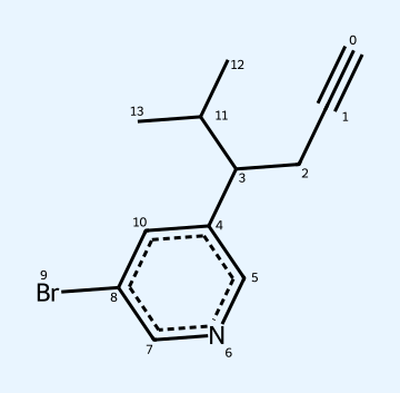 C#CCC(c1cncc(Br)c1)C(C)C